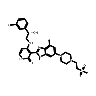 Cc1cc(N2CCN(CCS(C)(=O)=O)CC2)cc2[nH]c(-c3c(NC[C@@H](O)c4cccc(Cl)c4)cc[nH]c3=O)nc12